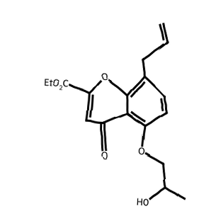 C=CCc1ccc(OCC(C)O)c2c(=O)cc(C(=O)OCC)oc12